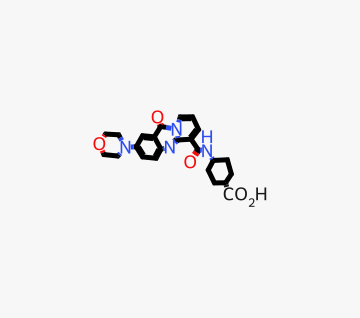 O=C(NC1CCC(C(=O)O)CC1)c1cccn2c(=O)c3cc(N4CCOCC4)ccc3nc12